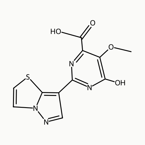 COc1c(O)nc(-c2cnn3ccsc23)nc1C(=O)O